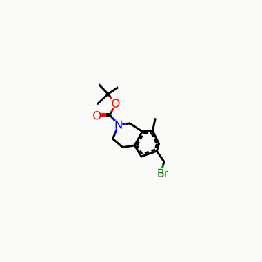 Cc1cc(CBr)cc2c1CN(C(=O)OC(C)(C)C)CC2